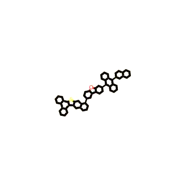 c1ccc2cc(-c3c4ccccc4c(-c4ccc5c(c4)oc4ccc(-c6cccc7cc8c(cc67)sc6c7ccccc7c7ccccc7c86)cc45)c4ccccc34)ccc2c1